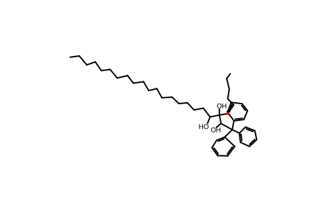 CCCCC=CC(O)(C(O)CCCCCCCCCCCCCCCCCC)C(O)C(c1ccccc1)(c1ccccc1)c1ccccc1